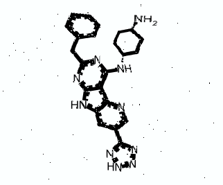 N[C@H]1CC[C@H](Nc2nc(Cc3ccccc3)nc3[nH]c4cc(-c5nn[nH]n5)cnc4c23)CC1